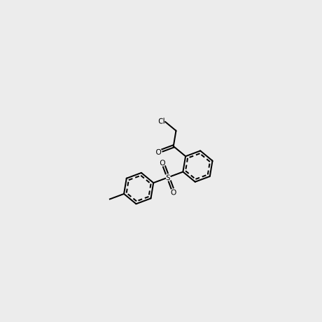 Cc1ccc(S(=O)(=O)c2ccccc2C(=O)CCl)cc1